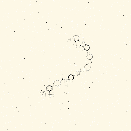 CC1(CN2CCN(CC3CCN(c4ccc5c(c4)C(=O)N(C4CCC(=O)NC4=O)C5=O)CC3)CC2)CN(c2ccc(NC(=O)C3CCN(c4ccc(C#N)c(C(F)(F)F)c4)CC3)nc2)C1